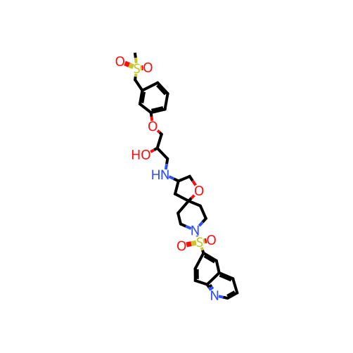 CS(=O)(=O)Cc1cccc(OCC(O)CNC2COC3(CCN(S(=O)(=O)c4ccc5ncccc5c4)CC3)C2)c1